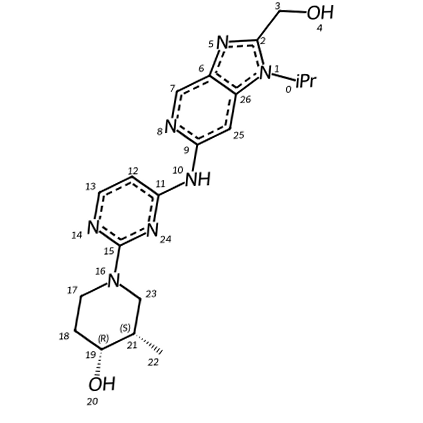 CC(C)n1c(CO)nc2cnc(Nc3ccnc(N4CC[C@@H](O)[C@@H](C)C4)n3)cc21